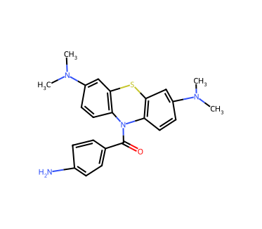 CN(C)c1ccc2c(c1)Sc1cc(N(C)C)ccc1N2C(=O)c1ccc(N)cc1